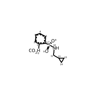 O=C(O)c1ccccc1S(=O)(=O)NCC1CC1